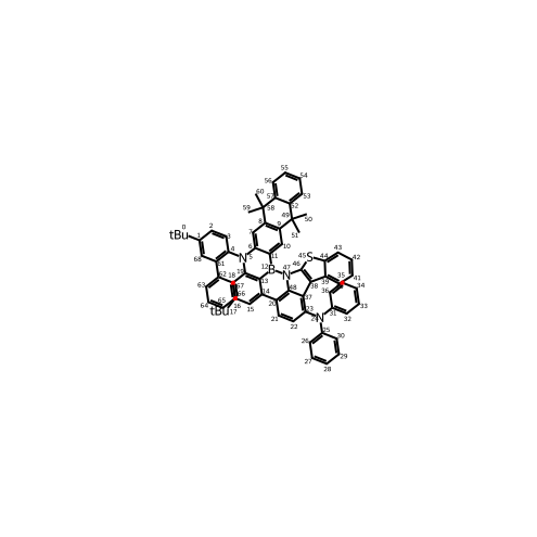 CC(C)(C)c1ccc(N2c3cc4c(cc3B3c5c(cc(C(C)(C)C)cc52)-c2ccc(N(c5ccccc5)c5ccccc5)c5c6c7ccccc7sc6n3c25)C(C)(C)c2ccccc2C4(C)C)c(-c2ccccc2)c1